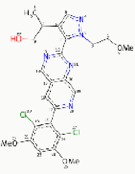 COCCn1ncc(C(C)CO)c1-c1ncc2cc(-c3c(Cl)c(OC)cc(OC)c3Cl)ncc2n1